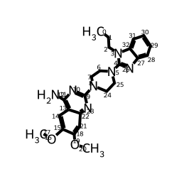 CCCn1c(N2CCN(c3nc(N)c4cc(OC)c(OC)cc4n3)CC2)nc2ccccc21